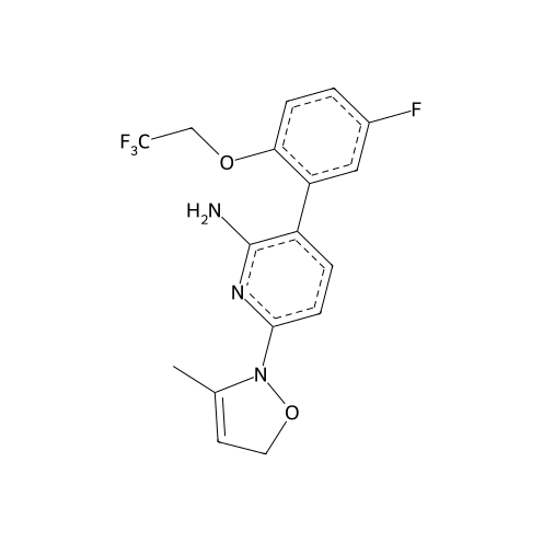 CC1=CCON1c1ccc(-c2cc(F)ccc2OCC(F)(F)F)c(N)n1